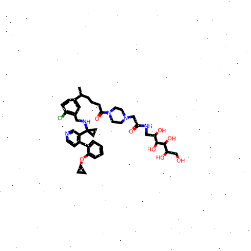 CC(CCCC(=O)N1CCN(CC(=O)NCC(O)C(O)C(O)C(O)CO)CC1)c1ccc(Cl)c(CNC2(c3cnccc3-c3ccccc3OC3CC3)CC2)c1